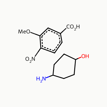 COc1cc(C(=O)O)ccc1[N+](=O)[O-].NC1CCC(O)CC1